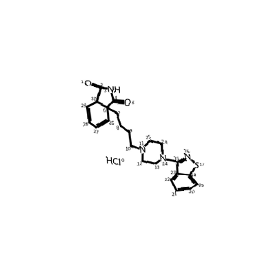 Cl.O=C1NC(=O)C2(CCCCN3CCN(c4nsc5ccccc45)CC3)C=CC=CC12